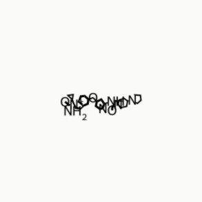 NC(=O)[N+]1(C2CC2)C=Cc2cc(Oc3ccnc(NC(=O)N4CCC(N5CCCC5)CC4)c3)ccc21